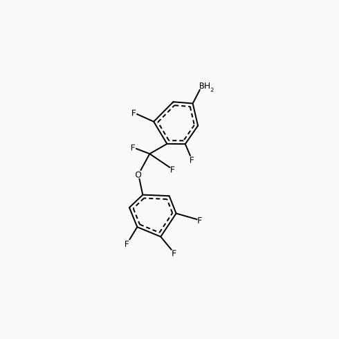 Bc1cc(F)c(C(F)(F)Oc2cc(F)c(F)c(F)c2)c(F)c1